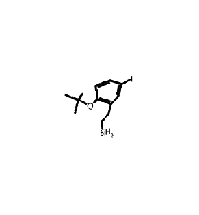 CC(C)(C)Oc1ccc(I)cc1CC[SiH3]